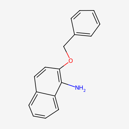 Nc1c(OCc2ccccc2)ccc2ccccc12